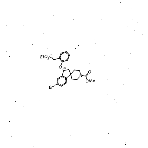 CCOC(=O)Cc1ccccc1O[C@@H]1CC2(CCN(C(=O)OC)CC2)c2ccc(Br)cc21